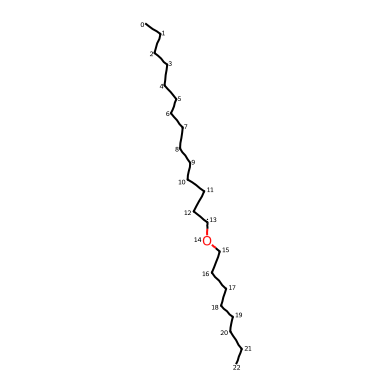 CCCCCCCCCCCCC[CH]OCCCCCCCC